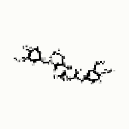 CCC(C)CC(NC(=N)NC(=O)Cc1ccc(OC)c(OC)c1)C(=O)NCc1ccc(F)c(OC)c1